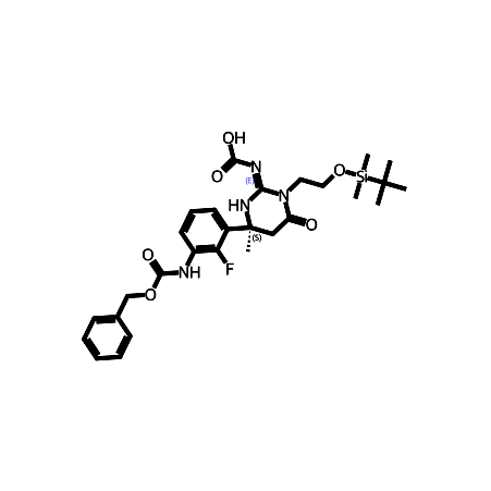 CC(C)(C)[Si](C)(C)OCCN1C(=O)C[C@@](C)(c2cccc(NC(=O)OCc3ccccc3)c2F)N/C1=N\C(=O)O